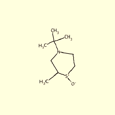 CC1CN(C(C)(C)C)CC[S+]1[O-]